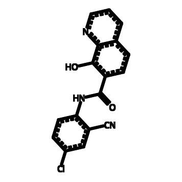 N#Cc1cc(Cl)ccc1NC(=O)c1ccc2cccnc2c1O